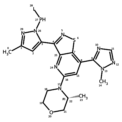 Cc1cc(-c2nsc3c(-c4ncnn4C)cc(N4CCOC[C@H]4C)nc23)n(PI)n1